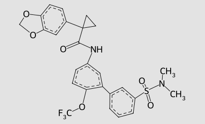 CN(C)S(=O)(=O)c1cccc(-c2cc(NC(=O)C3(c4ccc5c(c4)OCO5)CC3)ccc2OC(F)(F)F)c1